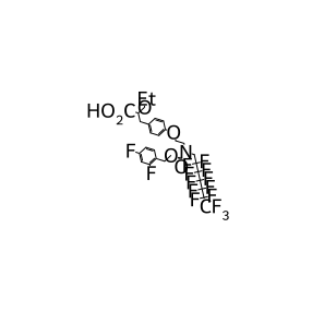 CCOC(Cc1ccc(OCCN(CC(F)(F)C(F)(F)C(F)(F)C(F)(F)C(F)(F)C(F)(F)F)C(=O)OCc2ccc(F)cc2F)cc1)C(=O)O